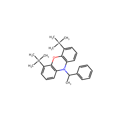 CC(c1ccccc1)N1c2cccc([Si](C)(C)C)c2Oc2c1cccc2[Si](C)(C)C